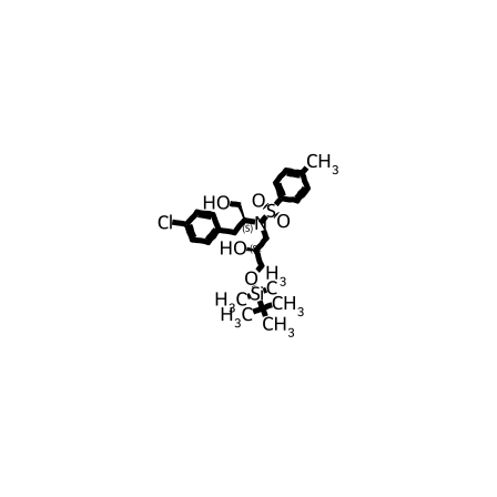 Cc1ccc(S(=O)(=O)N(C[C@H](O)CO[Si](C)(C)C(C)(C)C)[C@H](CO)Cc2ccc(Cl)cc2)cc1